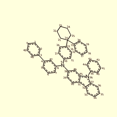 c1ccc(-c2cccc(N(c3ccc(C4(c5ccccc5)CCCCC4)cc3)c3ccc4c5ccccc5n(-c5ccccc5)c4c3)c2)cc1